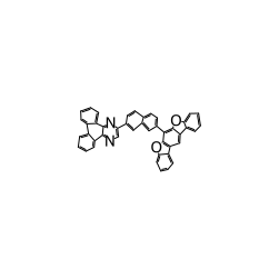 c1ccc2c(c1)oc1c(-c3ccc4ccc(-c5cnc6c7ccccc7c7ccccc7c6n5)cc4c3)c3oc4ccccc4c3cc12